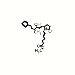 COC(=O)CCC/C=C/CN1C(=O)CC[C@@H]1/C=C/[C@@H](O)[C@@H](C)CCc1ccccc1